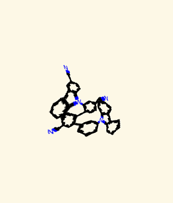 N#Cc1ccc(-c2ccc(C#N)cc2-n2c3ccccc3c3cc(C#N)ccc32)c(-c2cccc(-n3c4ccccc4c4ccccc43)c2)c1